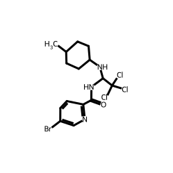 CC1CCC(NC(NC(=O)c2ccc(Br)cn2)C(Cl)(Cl)Cl)CC1